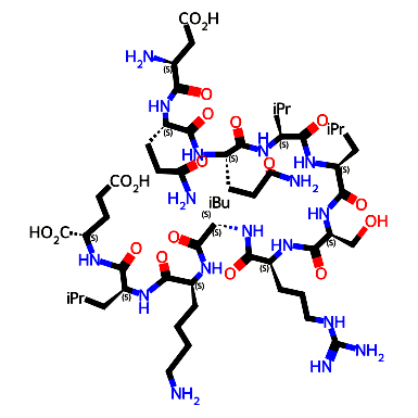 CC[C@H](C)[C@H](NC(=O)[C@H](CCCNC(=N)N)NC(=O)[C@H](CO)NC(=O)[C@H](CC(C)C)NC(=O)[C@@H](NC(=O)[C@H](CCC(N)=O)NC(=O)[C@H](CCC(N)=O)NC(=O)[C@@H](N)CC(=O)O)C(C)C)C(=O)N[C@@H](CCCCN)C(=O)N[C@@H](CC(C)C)C(=O)N[C@@H](CCC(=O)O)C(=O)O